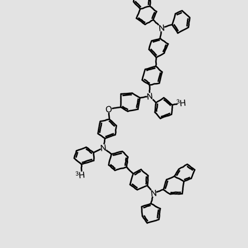 [3H]c1cccc(N(c2ccc(Oc3ccc(N(c4ccc(-c5ccc(N(c6ccccc6)c6ccc7ccccc7c6)cc5)cc4)c4cccc([3H])c4)cc3)cc2)c2ccc(-c3ccc(N(c4ccccc4)c4ccc5ccccc5c4)cc3)cc2)c1